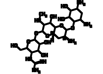 CNC1C(OC2OC(CO)C(NC(=N)N)C(O)C2O)O[C@H]2C[C@H](N)C(OC3C(N)CC(N)C(O)C3O)OC2C1O